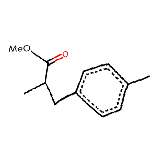 COC(=O)C(C)Cc1ccc(C)cc1